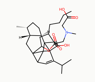 CCCCC1CC(C23C[C@@H]4[C@H](C)CC[C@H]4C4(C=O)C5(C(=O)O)C(C(C)C)=CC2C354)OC1CN(C)CC(=O)O